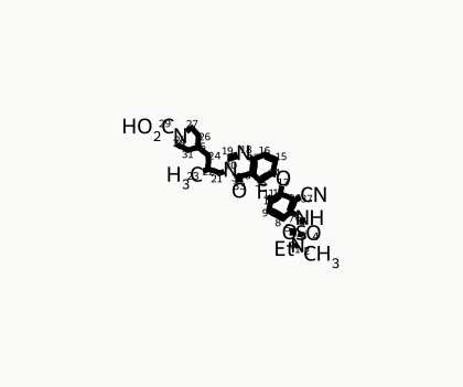 CCN(C)S(=O)(=O)Nc1ccc(F)c(Oc2ccc3ncn(CC(C)CC4CCN(C(=O)O)CC4)c(=O)c3c2)c1C#N